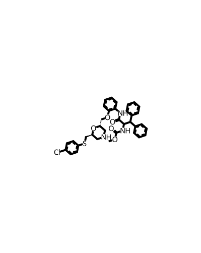 COC(=O)NC(C(=O)Nc1ccccc1OC[C@@H]1CNC[C@@H](CSc2ccc(Cl)cc2)O1)C(c1ccccc1)c1ccccc1